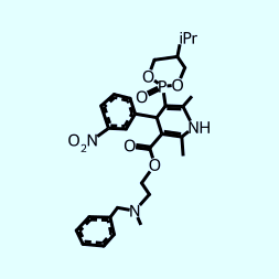 CC1=C(C(=O)OCCN(C)Cc2ccccc2)C(c2cccc([N+](=O)[O-])c2)C(P2(=O)OCC(C(C)C)CO2)=C(C)N1